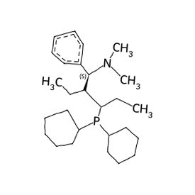 CCC(C(CC)P(C1CCCCC1)C1CCCCC1)[C@@H](c1ccccc1)N(C)C